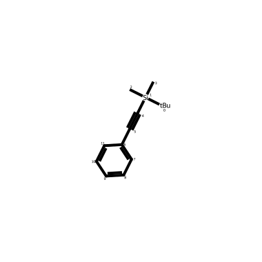 CC(C)(C)[Si](C)(C)C#Cc1ccccc1